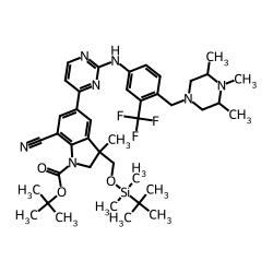 CC1CN(Cc2ccc(Nc3nccc(-c4cc(C#N)c5c(c4)C(C)(CO[Si](C)(C)C(C)(C)C)CN5C(=O)OC(C)(C)C)n3)cc2C(F)(F)F)CC(C)N1C